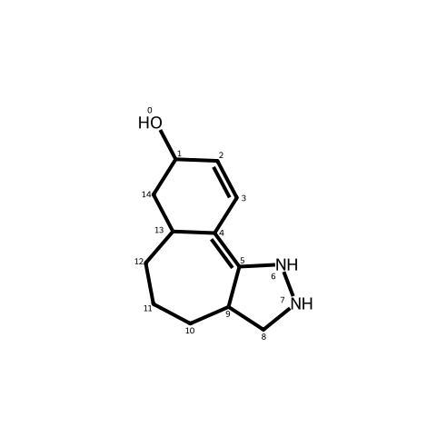 OC1C=CC2=C3NNCC3CCCC2C1